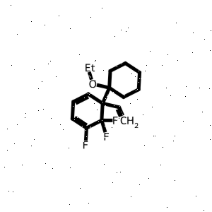 C=CC1(C2(OCC)CCCCC2)C=CC=C(F)C1(F)F